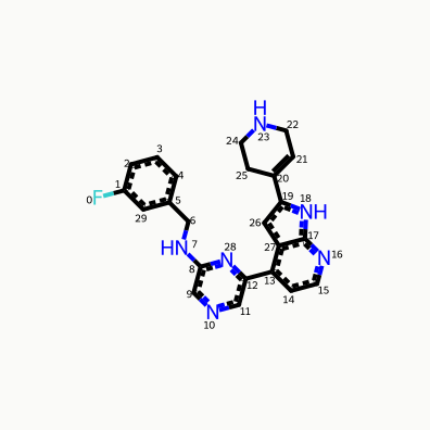 Fc1cccc(CNc2cncc(-c3ccnc4[nH]c(C5=CCNCC5)cc34)n2)c1